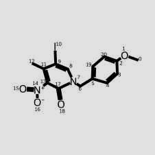 COc1ccc(Cn2cc(I)c(C)c([N+](=O)[O-])c2=O)cc1